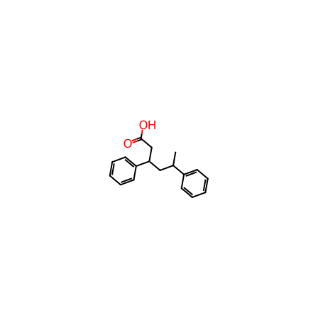 CC(CC(CC(=O)O)c1ccccc1)c1ccccc1